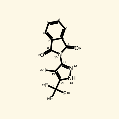 O=C1c2ccccc2C(=O)N1c1n[nH]c(C(F)(F)F)c1I